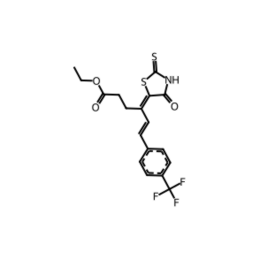 CCOC(=O)CCC(/C=C/c1ccc(C(F)(F)F)cc1)=C1\SC(=S)NC1=O